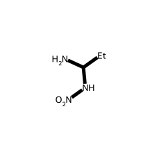 CCC(N)N[N+](=O)[O-]